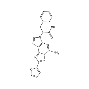 Nc1nc2c(cnn2C(Cc2ccccc2)C(=O)O)c2nc(-c3ccco3)nn12